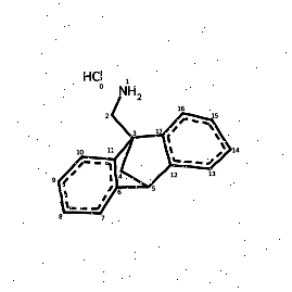 Cl.NCC12CC(c3ccccc31)c1ccccc12